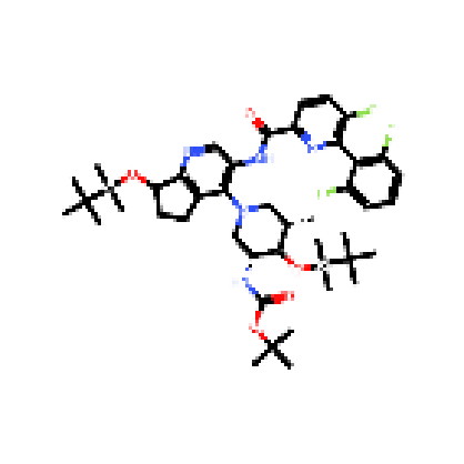 C[C@H]1CN(c2c(NC(=O)c3ccc(F)c(-c4c(F)cccc4F)n3)cnc3c2CCC3O[Si](C)(C)C(C)(C)C)C[C@@H](NC(=O)OC(C)(C)C)C1O[Si](C)(C)C(C)(C)C